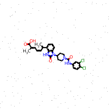 C=C(/C=C\C=C(/C)C(=O)O)c1cccc2c1[nH]c(=O)n2C1CCN(C(=O)Nc2ccc(Cl)c(Cl)c2)CC1